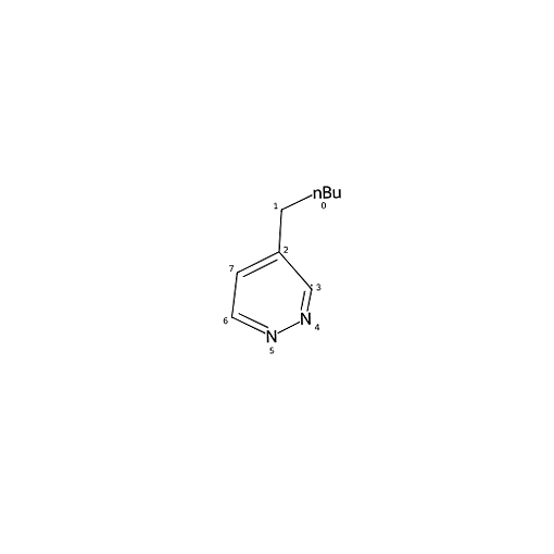 CCCCCc1[c]nncc1